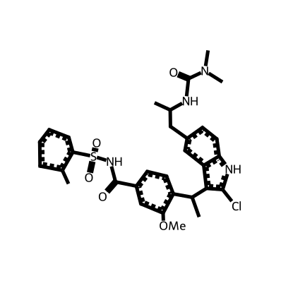 COc1cc(C(=O)NS(=O)(=O)c2ccccc2C)ccc1C(C)c1c(Cl)[nH]c2ccc(CC(C)NC(=O)N(C)C)cc12